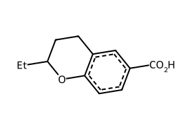 CCC1CCc2cc(C(=O)O)ccc2O1